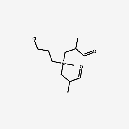 CC(C=O)C[Si](C)(CCCCl)CC(C)C=O